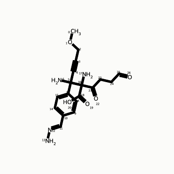 COCC#CC(N)(c1ccc(C=NN)cc1)C(N)(C(=O)O)C(=O)CCC=O